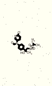 CC(C)S(=O)(=O)NCC(C)(O)c1ccc(N(C=O)c2ccc(Cl)nc2)cc1